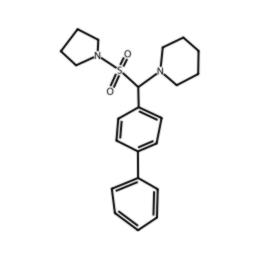 O=S(=O)(C(c1ccc(-c2ccccc2)cc1)N1CCCCC1)N1CCCC1